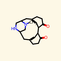 CN1CC2CC3=CC(C(=O)CC3)C3C=C(CCC3=O)CC1CN2